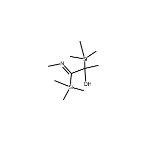 CN=C(C(C)(O)[Si](C)(C)C)[Si](C)(C)C